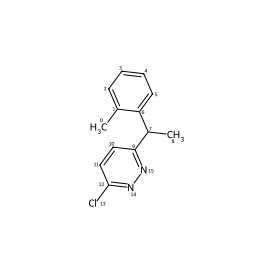 Cc1ccccc1C(C)c1ccc(Cl)nn1